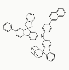 c1ccc(-c2ccc3c(c2)C2(Cc4ccccc4C2)c2cc(N(c4ccc(-c5ccc6ccccc6c5)cc4)c4ccc5c(c4)C4(c6ccccc6-5)C5CC6CC(C5)CC4C6)ccc2-3)cc1